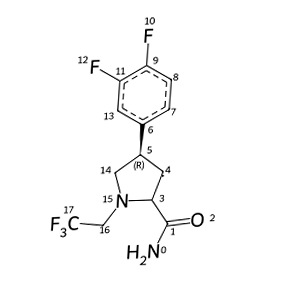 NC(=O)C1[CH][C@H](c2ccc(F)c(F)c2)CN1CC(F)(F)F